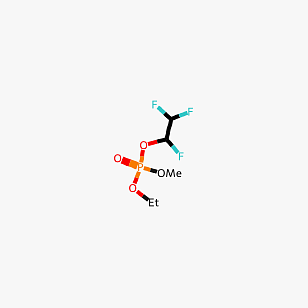 CCOP(=O)(OC)OC(F)C(F)F